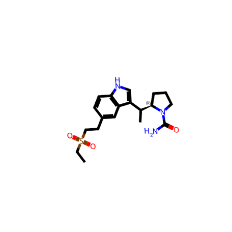 CCS(=O)(=O)CCc1ccc2[nH]cc(C(C)[C@H]3CCCN3C(N)=O)c2c1